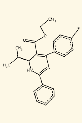 CCOC(=O)C1=C(c2ccc(F)cc2)N=C(c2ccccc2)NC1C(C)C